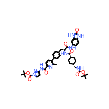 Cc1nc(C(=O)Nc2ccn(C(=O)OC(C)(C)C)n2)ccc1-c1ccc(C[C@H](NC(=O)[C@H]2CC[C@H](CNC(=O)OC(C)(C)C)CC2)C(=O)Nc2ccc3[nH]c(=O)[nH]c3c2)cc1